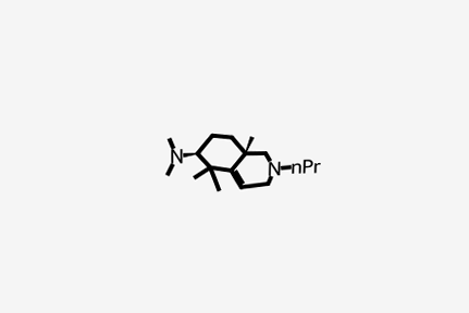 CCCN1CC=C2C(C)(C)[C@@H](N(C)C)CC[C@]2(C)C1